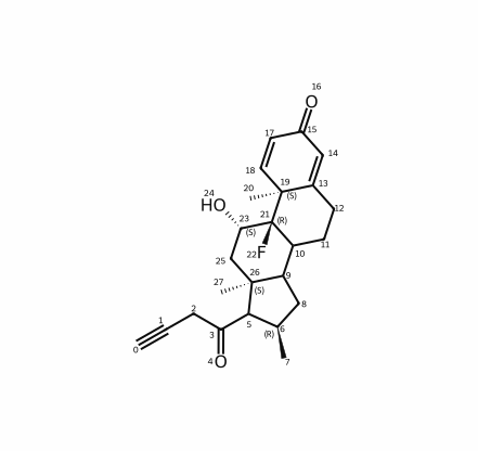 C#CCC(=O)C1[C@H](C)CC2C3CCC4=CC(=O)C=C[C@]4(C)[C@@]3(F)[C@@H](O)C[C@@]21C